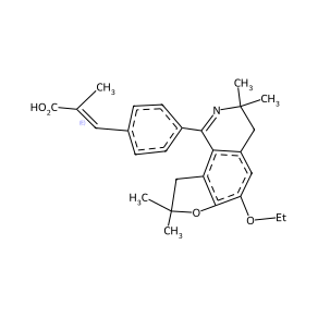 CCOc1cc2c(c3c1OC(C)(C)C3)C(c1ccc(/C=C(\C)C(=O)O)cc1)=NC(C)(C)C2